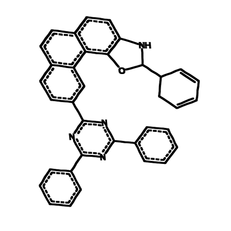 C1=CCC(C2Nc3ccc4ccc5ccc(-c6nc(-c7ccccc7)nc(-c7ccccc7)n6)cc5c4c3O2)C=C1